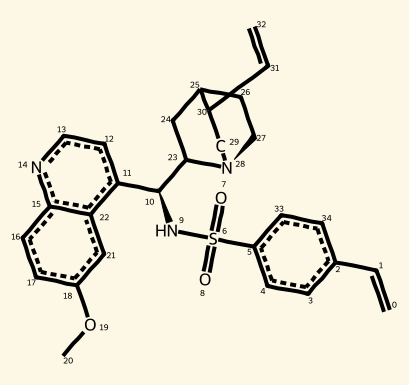 C=Cc1ccc(S(=O)(=O)N[C@@H](c2ccnc3ccc(OC)cc23)C2CC3CC[N@]2CC3C=C)cc1